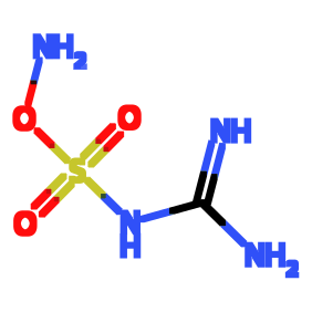 N=C(N)NS(=O)(=O)ON